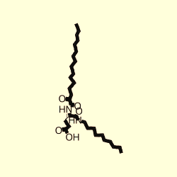 CCCCCCCCCCCCCCC(=O)C(=O)N[C@@H](CCC(=O)O)C(=O)NCCCCCCCCCC